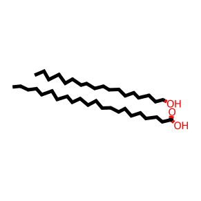 CCCCCCCCCCCCCCCCCCCCCC(=O)O.CCCCCCCCCCCCCCCCCCO